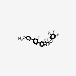 CC1CC=C(c2ccc(-c3ccc4nc(C(F)(F)Oc5cc(F)c(F)c(F)c5)sc4c3)c(F)c2)CC1